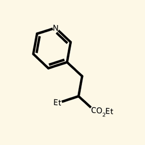 CCOC(=O)C(CC)Cc1cccnc1